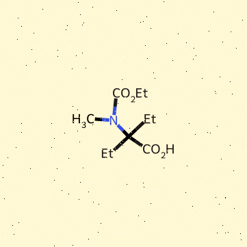 CCOC(=O)N(C)C(CC)(CC)C(=O)O